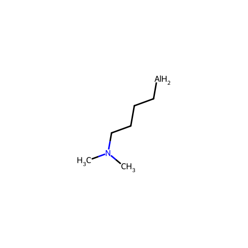 CN(C)CCC[CH2][AlH2]